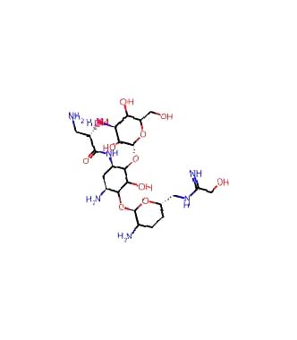 N=C(CO)NC[C@@H]1CCC(N)[C@@H](OC2C(O)C(O[C@H]3OC(CO)C(O)[C@H](N)C3O)[C@H](NC(=O)[C@@H](O)CN)C[C@@H]2N)O1